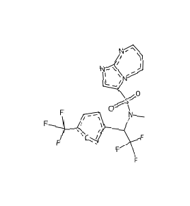 CN(C(c1ccc(C(F)(F)F)cc1)C(F)(F)F)S(=O)(=O)c1cnc2ncccn12